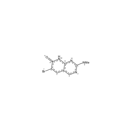 CNc1ncc2cc(Br)c(=O)[nH]c2n1